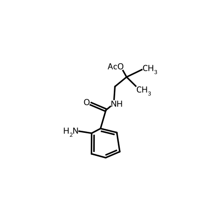 CC(=O)OC(C)(C)CNC(=O)c1ccccc1N